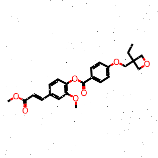 CCC1(COc2ccc(C(=O)Oc3ccc(/C=C/C(=O)OC)cc3OC)cc2)COC1